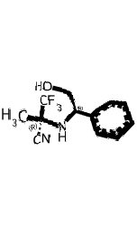 C[C@](C#N)(N[C@@H](CO)c1ccccc1)C(F)(F)F